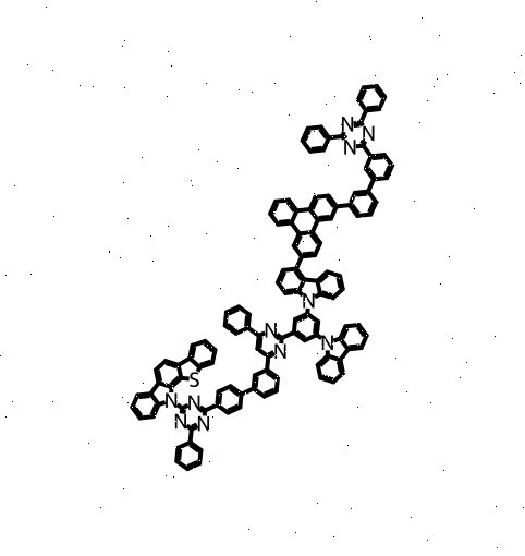 c1ccc(-c2cc(-c3cccc(-c4ccc(-c5nc(-c6ccccc6)nc(-n6c7ccccc7c7ccc8c9ccccc9sc8c76)n5)cc4)c3)nc(-c3cc(-n4c5ccccc5c5ccccc54)cc(-n4c5ccccc5c5c(-c6ccc7c8cc(-c9cccc(-c%10cccc(-c%11nc(-c%12ccccc%12)nc(-c%12ccccc%12)n%11)c%10)c9)ccc8c8ccccc8c7c6)cccc54)c3)n2)cc1